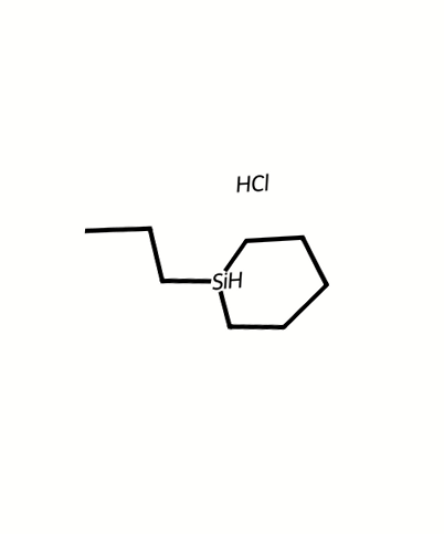 CCC[SiH]1CCCCC1.Cl